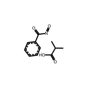 CC(C)C(=O)O.O=NC(=O)c1ccccc1